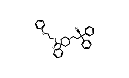 N#CC(CCN1CCC(C(=O)OCCOc2ccccc2)(c2ccccc2)CC1)(c1ccccc1)c1ccccc1